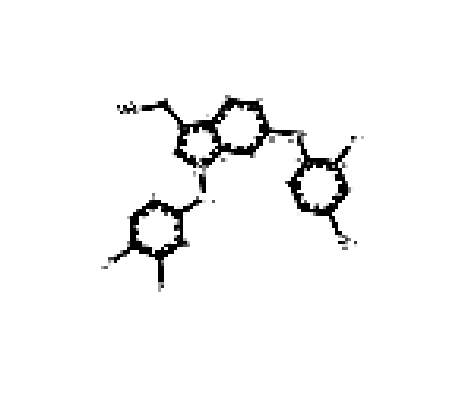 CNCc1cn(Sc2ccc(F)c(F)c2)c2cc(Nc3ccc(C)cc3F)ccc12